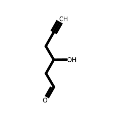 C#CCC(O)CC=O